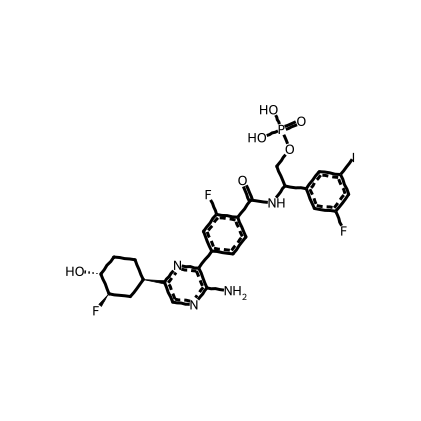 Nc1ncc([C@@H]2CC[C@@H](O)[C@H](F)C2)nc1-c1ccc(C(=O)NC(COP(=O)(O)O)c2cc(F)cc(I)c2)c(F)c1